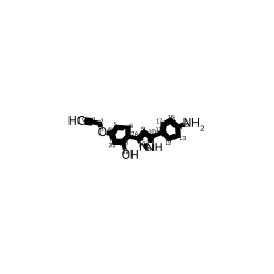 C#CCOc1ccc(-c2cc(-c3ccc(N)cc3)[nH]n2)c(O)c1